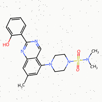 Cc1cc(N2CCN(S(=O)(=O)N(C)C)CC2)c2cnc(-c3ccccc3O)nc2c1